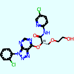 O=C(Nc1ccc(Cl)cn1)[C@H](COCCO)Oc1ncnc2c1nnn2-c1ccccc1Cl